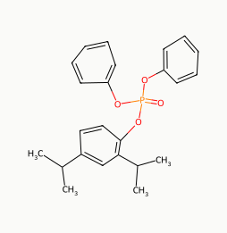 CC(C)c1ccc(OP(=O)(Oc2ccccc2)Oc2ccccc2)c(C(C)C)c1